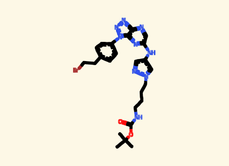 CC(C)(C)OC(=O)NCCCCn1cc(Nc2cnc3nnn(-c4ccc(CCBr)cc4)c3n2)cn1